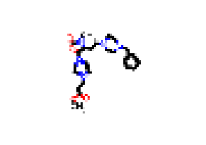 COC(=O)CCN1CCN(C2OC(=O)N(C)C2CCN2CCN(Cc3ccccc3)CC2)CC1